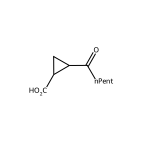 CCCCCC(=O)C1CC1C(=O)O